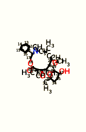 CO[C@]1(C)C[C@@H](C)CN(C)[C@H](c2ccccc2)COC(=O)C(C)(C)C(=O)[C@H](C)[C@H]1C[C@@H]1O[C@H](C)CC[C@H]1O